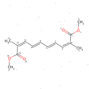 COC(=O)\C(C)=C/C=C/C=C/C=C(/C)C(=O)OC